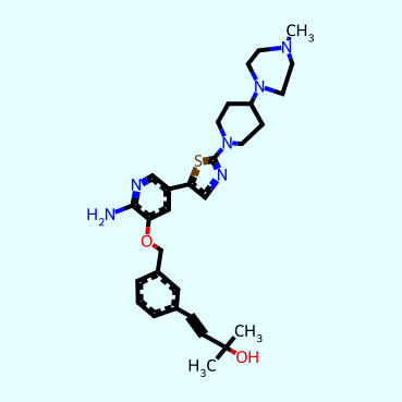 CN1CCN(C2CCN(c3ncc(-c4cnc(N)c(OCc5cccc(C#CC(C)(C)O)c5)c4)s3)CC2)CC1